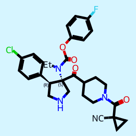 CCN(C(=O)Oc1ccc(F)cc1)[C@]1(C(=O)C2CCN(C(=O)C3(C#N)CC3)CC2)CNC[C@H]1c1ccc(Cl)cc1